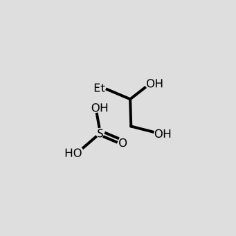 CCC(O)CO.O=S(O)O